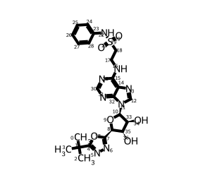 CC(C)(C)c1nnc([C@H]2O[C@@H](n3cnc4c(NCCS(=O)(=O)Nc5ccccc5)ncnc43)[C@@H](O)[C@@H]2O)o1